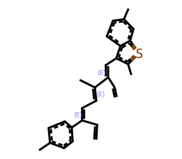 C=CC(=C\c1c(C)sc2cc(C)ccc12)/C(C)=C/C=C(\C=C)c1ccc(C)cc1